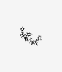 CCCC(NC(=O)OCc1ccccc1)C(=O)NC1CCN(c2nc3c(-c4ccc(F)cc4F)cc(C(=O)OCc4ccccc4)c(=O)n3cc2F)C1